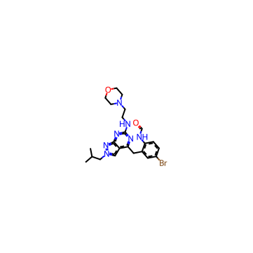 CC(C)Cn1cc2c(Cc3cc(Br)ccc3NC=O)nc(NCCN3CCOCC3)nc2n1